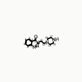 O=c1c2ccccc2nnn1CCN1CCNCC1